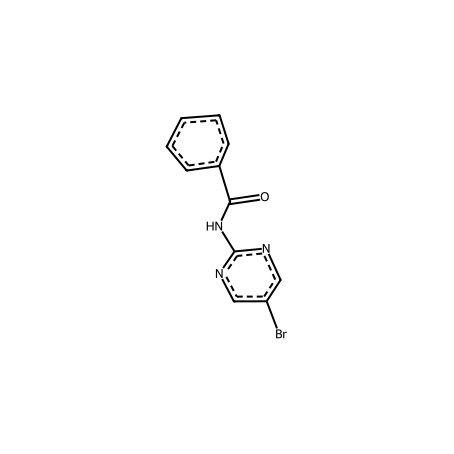 O=C(Nc1ncc(Br)cn1)c1ccccc1